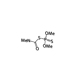 CNC(=O)SP(=S)(OC)OC